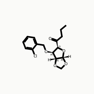 CCCC(=O)[C@H]1O[C@@H]2OCO[C@@H]2[C@H]1OCc1ccccc1Cl